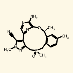 Cc1ccc2c(c1)[C@@H](C)Oc1nc(cnc1N)-c1c(nn(C)c1C#N)CP(C)(=O)C2